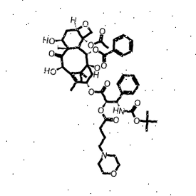 CC(=O)O[C@@]12CO[C@@H]1C[C@H](O)[C@@]1(C)C(=O)[C@H](O)C3=C(C)[C@@H](OC(=O)[C@H](OC(=O)CCCN4CCOCC4)[C@@H](NC(=O)OC(C)(C)C)c4ccccc4)C[C@@](O)([C@@H](OC(=O)c4ccccc4)C12)C3(C)C